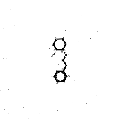 F[C@@H]1CCCC[C@H]1OCCc1ccccc1